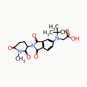 CN1C(=O)CCC(N2C(=O)c3ccc(N(CC(=O)O)C(C)(C)C)cc3C2=O)C1=O